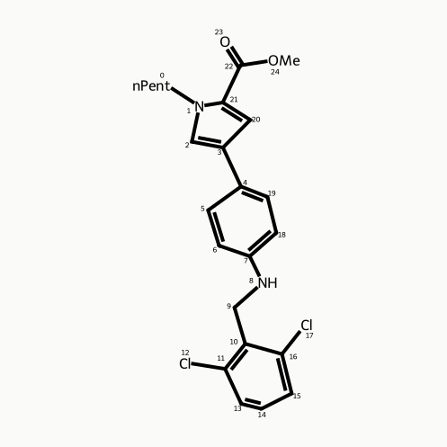 CCCCCn1cc(-c2ccc(NCc3c(Cl)cccc3Cl)cc2)cc1C(=O)OC